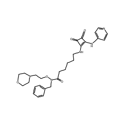 O=C(CCCCCNc1c(Nc2ccncc2)c(=O)c1=O)N(Cc1ccccc1)OCCN1CCOCC1